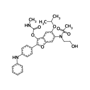 CNC(=O)Oc1c(-c2ccc(Nc3ccccc3)cc2)oc2cc(N(CCO)S(C)(=O)=O)c(OC(C)C)cc12